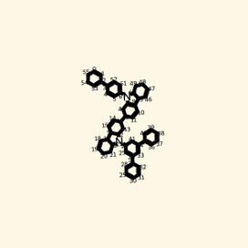 C1=CC(c2ccc(N3C4=C(C=CC(C5C=CC6C7C=CCCC7N(C7C=C(c8ccccc8)C=C(c8ccccc8)C7)C6C5)C4)C4C=CCCC43)cc2)=CCC1